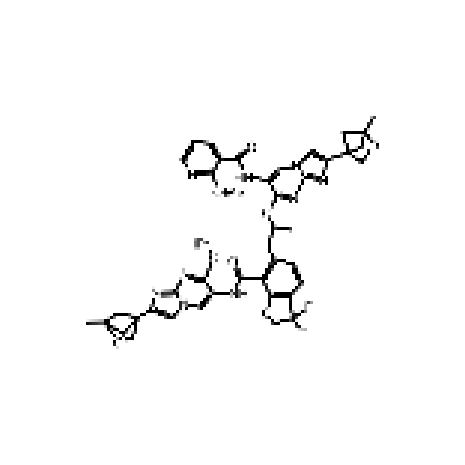 COc1ncccc1C(=O)Nc1cn2cc(C34COC(C)(C3)C4)nc2nc1OC(C)Cc1ccc2c(c1C(=O)Nc1cn3cc(C45COC(C)(C4)C5)nc3nc1OC(C)C)OCC2(F)F